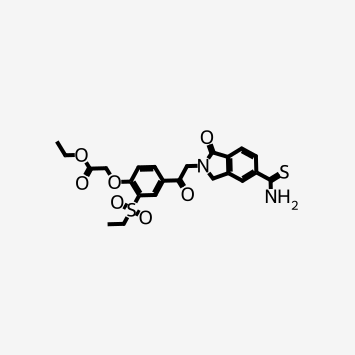 CCOC(=O)COc1ccc(C(=O)CN2Cc3cc(C(N)=S)ccc3C2=O)cc1S(=O)(=O)CC